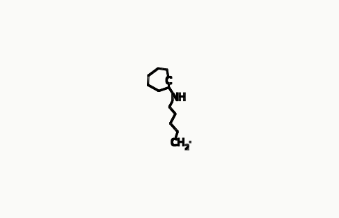 [CH2]CCCCNC1CCCCCC1